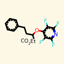 CCOC(=O)C(CCc1ccccc1)Oc1c(F)c(F)nc(F)c1F